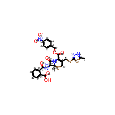 Cc1nnc(SCC2=C(C(=O)OCc3ccc([N+](=O)[O-])cc3)N3C(=O)C(NC(=O)c4ccccc4C(=O)O)[C@@H]3SC2)s1